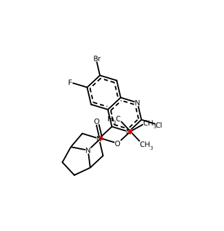 CC(C)(C)OC(=O)N1C2CCC1CN(c1nc(Cl)nc3cc(Br)c(F)cc13)C2